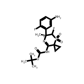 CC(C)(C)OC(=O)NC1=N[C@](C)(c2cc(N)ccc2F)C(F)S(=O)(=O)C12CC2